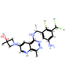 Cc1nnc(N[C@H](C)c2cc(N)cc(C(F)F)c2F)c2cc(N3CC(C)(O)C3)cnc12